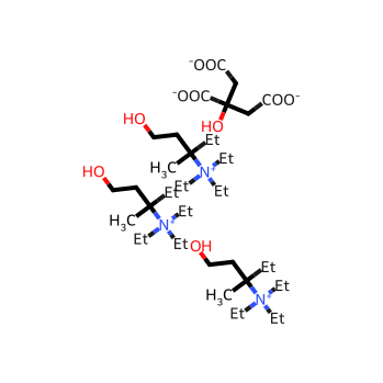 CCC(C)(CCO)[N+](CC)(CC)CC.CCC(C)(CCO)[N+](CC)(CC)CC.CCC(C)(CCO)[N+](CC)(CC)CC.O=C([O-])CC(O)(CC(=O)[O-])C(=O)[O-]